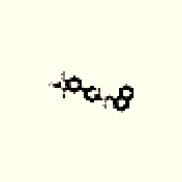 O=c1[nH]c2ccc(-c3ccc(NCc4cccc5ccccc45)nc3)cc2[nH]1